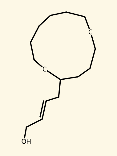 OC/C=C/CC1CCCCCCCCCCC1